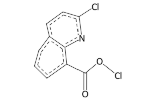 O=C(OCl)c1cccc2ccc(Cl)nc12